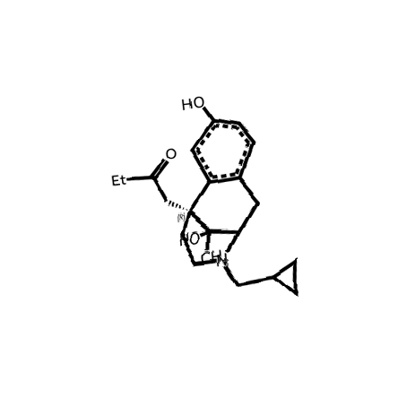 CCC(=O)C[C@]12CCN(CC3CC3)C(Cc3ccc(O)cc31)C2(C)O